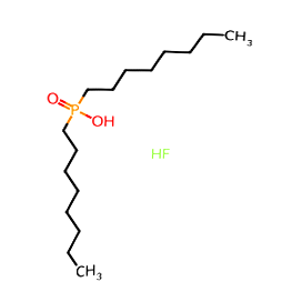 CCCCCCCCP(=O)(O)CCCCCCCC.F